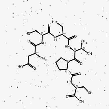 C[C@@H](O)[C@H](NC(=O)[C@H](CO)NC(=O)[C@H](CS)NC(=O)[C@@H](N)CC(=O)O)C(=O)N1CCC[C@H]1C(=O)N[C@@H](CS)C(=O)O